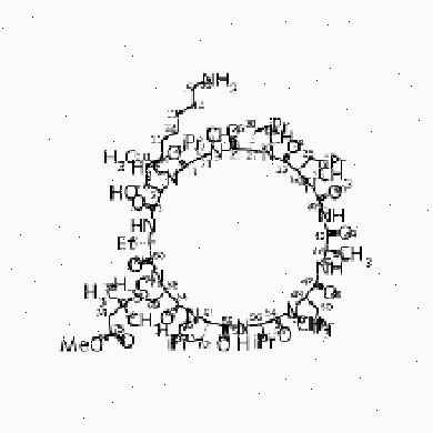 CC[C@@H]1NC(=O)C([C@H](O)[C@H](C)CCCCCCN)N(C)C(=O)[C@H](C(C)C)N(C)C(=O)[C@H](CC(C)C)N(C)C(=O)[C@@H](CC(C)C)N(C)C(=O)NC(=O)[C@@H](C)NC(=O)[C@@H](CC(C)C)N(C)C(=O)[C@@H](C(C)C)NC(=O)[C@H](CC(C)C)N(C)C(=O)[C@@H](CSC(C)(C)CC(=O)OC)N(C)C1=O